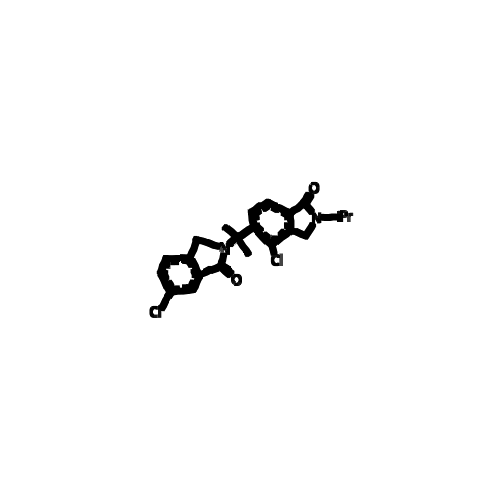 CC(C)N1Cc2c(ccc(C(C)(C)N3Cc4ccc(Cl)cc4C3=O)c2Cl)C1=O